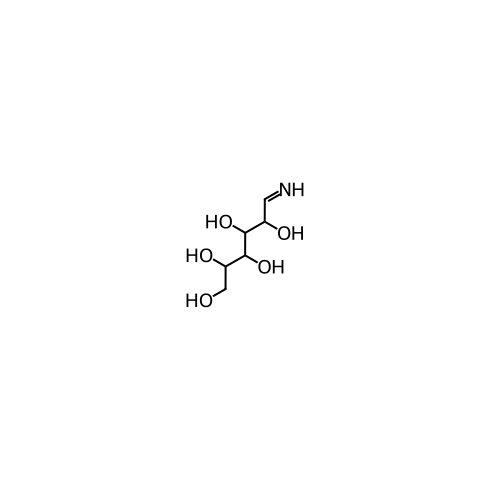 N=CC(O)C(O)C(O)C(O)CO